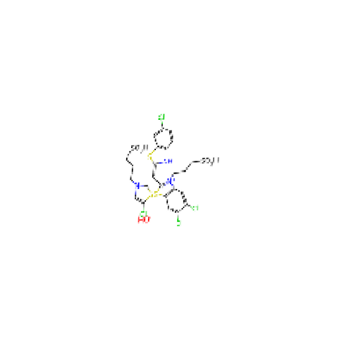 O=S(=O)(O)CCCN1C=C(Cl)SC1.O=S(=O)(O)CCC[n+]1c(C=C2Nc3ccc(Cl)cc3S2)sc2cc(Cl)c(Cl)cc21.[OH-]